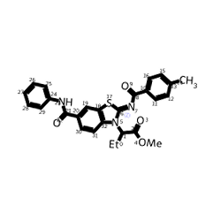 CCC(C(=O)OC)n1/c(=N/C(=O)c2ccc(C)cc2)sc2cc(C(=O)Nc3ccccc3)ccc21